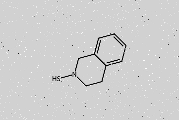 SN1CCc2ccccc2C1